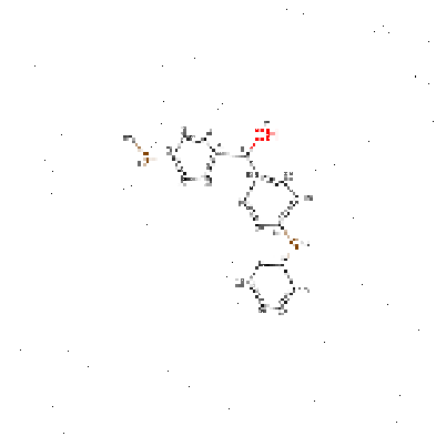 CSc1ccc(C(O)c2ccc(Sc3ccccc3)cc2)cc1